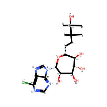 CC(C)(CC[C@H]1O[C@@H](n2cnc3c(Cl)ncnc32)[C@H](O)[C@H](O)[C@@H](O)[C@@H]1O)[Si](C)(C)O